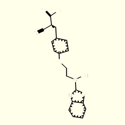 CN(CCOc1ccc(/C=C(\C#N)C(=O)O)cc1)c1nc2ccccc2o1